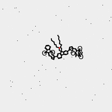 CCCCCCCCC1(CCCCCCCC)c2cc(-c3ccc(C=C4C(=O)c5ccccc5C4=O)s3)ccc2-c2ccc(-c3ccc(C=C4C(=O)N(C)C(=O)N(C)C4=O)s3)cc21